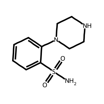 NS(=O)(=O)c1ccccc1N1CCNCC1